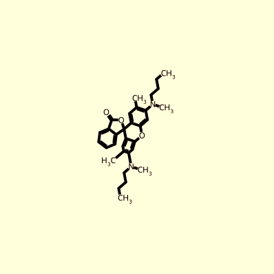 CCCCN(C)c1cc2c(cc1C)C1(OC(=O)c3ccccc31)c1cc(C)c(N(C)CCCC)cc1O2